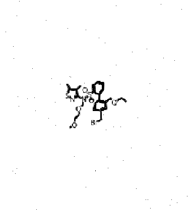 CCOCc1cc(CBr)ccc1-c1ccccc1S(=O)(=O)N(COCCOC)c1nsc(C)c1C